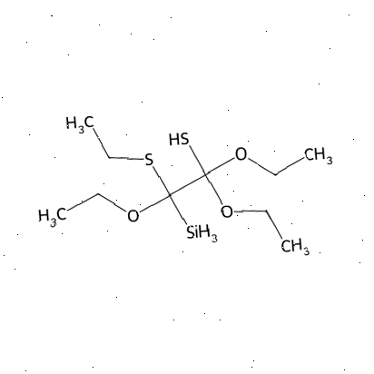 CCOC(S)(OCC)C([SiH3])(OCC)SCC